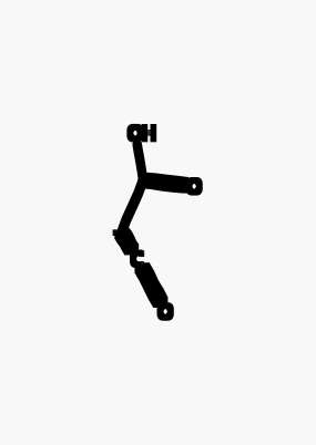 O=C=[C]C(=O)O